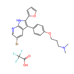 CN(C)CCCOc1ccc(-c2c(-c3ccco3)[nH]c3ncc(Br)cc23)cc1.O=C(O)C(F)(F)F